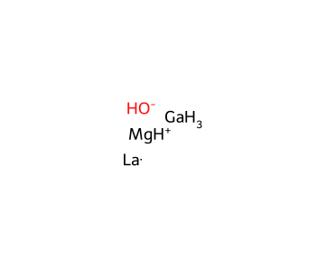 [GaH3].[La].[MgH+].[OH-]